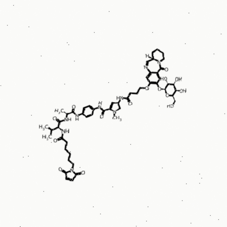 CC(C)[C@H](NC(=O)CCCCCN1C(=O)C=CC1=O)C(=O)N[C@@H](C)C(=O)Nc1ccc(NC(=O)C2=CC(NC(=O)CCCOc3cc4c(cc3O[C@@H]3O[C@H](CO)[C@H](O)[C@H](O)[C@H]3O)C(=O)N3CCCC[C@H]3C=N4)CN2C)cc1